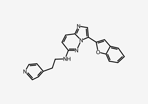 c1ccc2oc(-c3cnc4ccc(NCCc5ccncc5)nn34)cc2c1